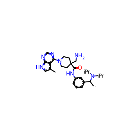 [CH2]C(c1cccc(NC(=O)C2(CN)CCN(c3ncnc4[nH]cc(C)c34)CC2)c1)N(C(C)C)C(C)C